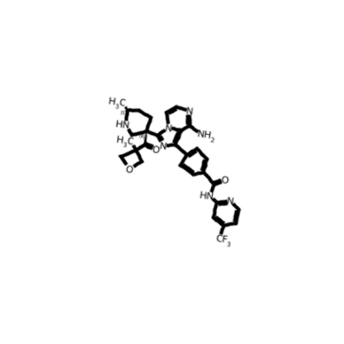 C[C@H]1CC[C@](C(=O)C2(C)COC2)(c2nc(-c3ccc(C(=O)Nc4cc(C(F)(F)F)ccn4)cc3)c3c(N)nccn23)CN1